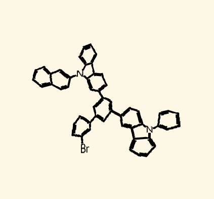 Brc1cccc(-c2cc(-c3ccc4c(c3)c3ccccc3n4-c3ccccc3)cc(-c3ccc4c5ccccc5n(-c5ccc6ccccc6c5)c4c3)c2)c1